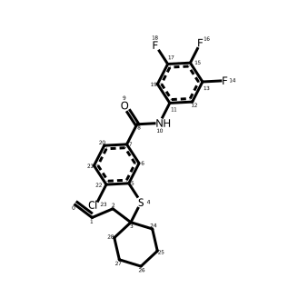 C=CCC1(Sc2cc(C(=O)Nc3cc(F)c(F)c(F)c3)ccc2Cl)CCCCC1